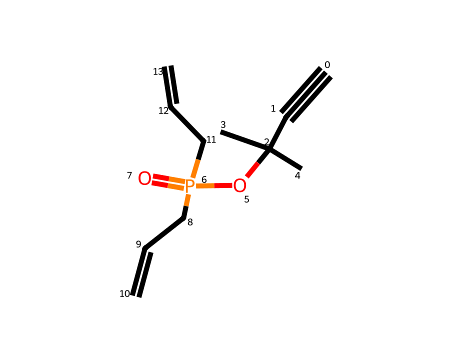 C#CC(C)(C)OP(=O)(CC=C)CC=C